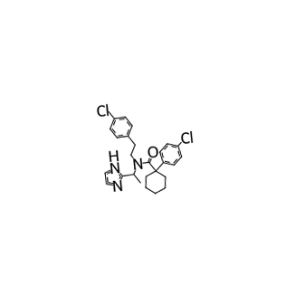 CC(c1ncc[nH]1)N(CCc1ccc(Cl)cc1)C(=O)C1(c2ccc(Cl)cc2)CCCCC1